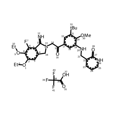 CCOc1cc2c(c(F)c1OCC)C(=N)N(CC(=O)c1cc(NCc3ccc[nH]c3=O)c(OC)c(C(C)(C)C)c1)C2.O=C(O)C(F)(F)F